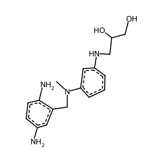 CN(Cc1cc(N)ccc1N)c1cccc(NCC(O)CO)c1